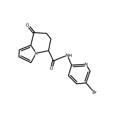 O=C1CCC(C(=O)Nc2ccc(Br)cn2)n2cccc21